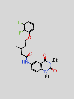 CCn1c(=O)c2cc(NC(=O)CC(C)CCOc3cccc(F)c3F)ccc2n(CC)c1=O